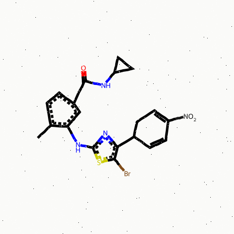 Cc1ccc(C(=O)NC2CC2)cc1Nc1nc(C2C=CC([N+](=O)[O-])=CC2)c(Br)s1